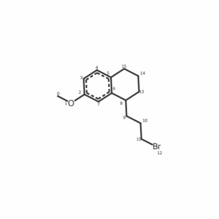 COc1ccc2c(c1)C(CCCBr)CCC2